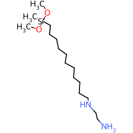 CO[Si](C)(CCCCCCCCCCCNCCN)OC